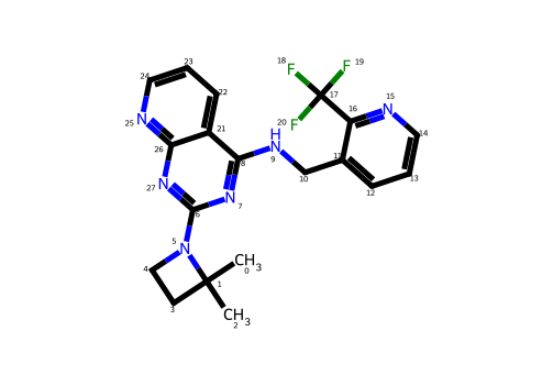 CC1(C)CCN1c1nc(NCc2cccnc2C(F)(F)F)c2cccnc2n1